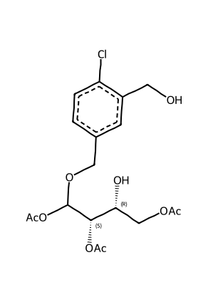 CC(=O)OC[C@@H](O)[C@H](OC(C)=O)C(OCc1ccc(Cl)c(CO)c1)OC(C)=O